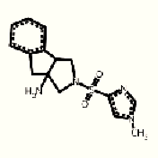 Cn1cnc(S(=O)(=O)N2CC3c4ccccc4CC3(N)C2)c1